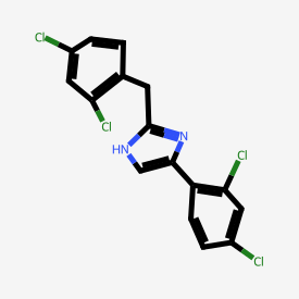 Clc1ccc(Cc2nc(-c3ccc(Cl)cc3Cl)c[nH]2)c(Cl)c1